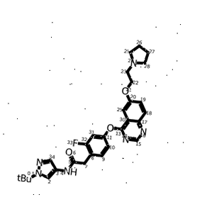 CC(C)(C)n1cc(NC(=O)Cc2ccc(Oc3ncnc4ccc(OCCN5CCCC5)cc34)cc2F)cn1